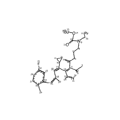 C=C(C)/C(C(=C)CCCN(CC(C)C)C(=O)OC(C)(C)C)=C(C(=C\C(C)=C/c1cc(F)ccc1C)/C1CC1)\C(C)=N/C